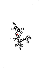 COCc1cc(C(C)(C)c2ccc(C(C)(c3cc(COC)c(O)c(COC)c3)c3cc(COC)c(OCC(C)(C)CC(C)(C)c4cc(COC)c(O)c(Sc5cc(C(C)(C)CC(C)(C)C)cc(COC)c5O)c4)c(COC)c3)cc2)cc(COC)c1O